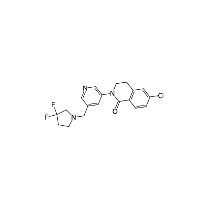 O=C1c2ccc(Cl)cc2CCN1c1cncc(CN2CCC(F)(F)C2)c1